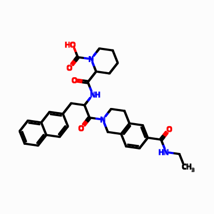 CCNC(=O)c1ccc2c(c1)CCN(C(=O)C(Cc1ccc3ccccc3c1)NC(=O)C1CCCCN1C(=O)O)C2